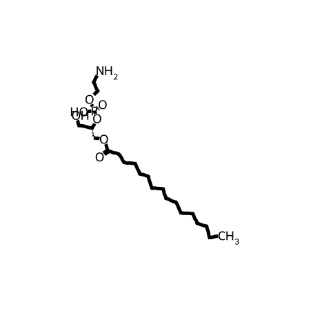 CCCCCCCCCCCCCCCC(=O)OC[C@H](CO)OP(=O)(O)OCCN